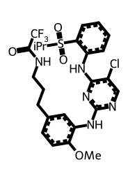 COc1ccc(CCCNC(=O)C(F)(F)F)cc1Nc1ncc(Cl)c(Nc2ccccc2S(=O)(=O)C(C)C)n1